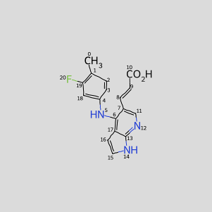 Cc1ccc(Nc2c(/C=C/C(=O)O)cnc3[nH]ccc23)cc1F